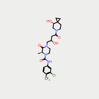 C[C@H]1C(=O)N(CC(O)CC(=O)N2CCC3(CC3)[C@H](O)C2)CCN1C(=O)Nc1ccc(C(F)(F)F)c(Cl)c1